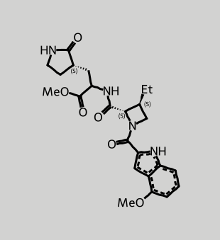 CC[C@H]1CN(C(=O)c2cc3c(OC)cccc3[nH]2)[C@@H]1C(=O)NC(C[C@@H]1CCNC1=O)C(=O)OC